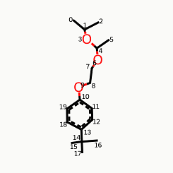 CC(C)OC(C)OCCOc1ccc(C(C)(C)C)cc1